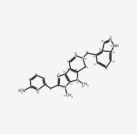 Cn1c(Cc2cccc(N)n2)nc2c3c(n(C)c21)CN(Cc1cccc2[nH]ncc12)N=C3